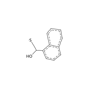 OC([S])c1cccc2ccccc12